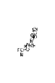 Cc1nc2ccc(S(=O)(=O)N3CCN(CC(C)Nc4ncnc5c(-c6ccc(F)c(CN(C)C)c6)cccc45)CC3)cc2s1